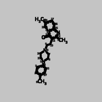 Cc1ccc(N2CCN(CCc3c(C)nc4ccc(C)cn4c3=O)CC2)cc1